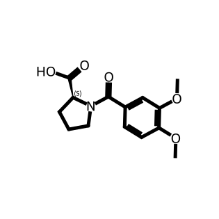 COc1ccc(C(=O)N2CCC[C@H]2C(=O)O)cc1OC